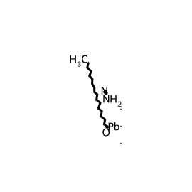 CCCCCCCCCCCCCCCCC[C](=O)[Pb].N#CN